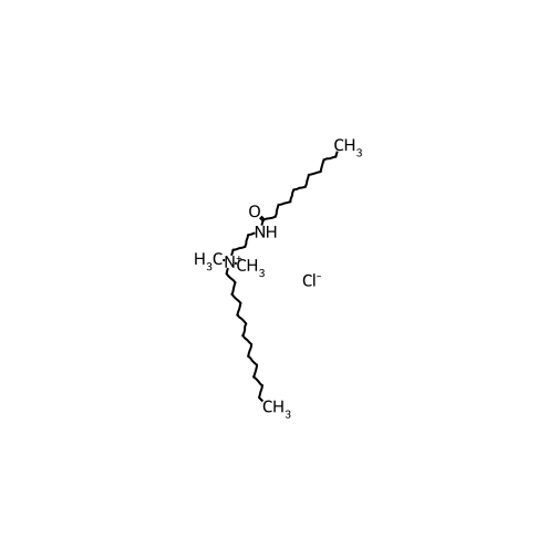 CCCCCCCCCCCCCC[N+](C)(C)CCCNC(=O)CCCCCCCCCC.[Cl-]